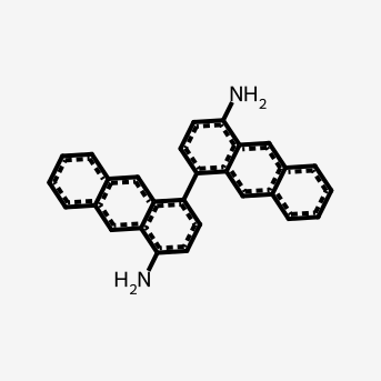 Nc1ccc(-c2ccc(N)c3cc4ccccc4cc23)c2cc3ccccc3cc12